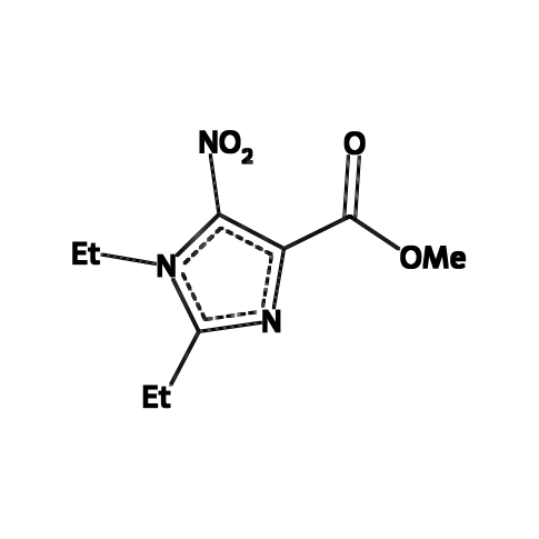 CCc1nc(C(=O)OC)c([N+](=O)[O-])n1CC